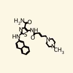 CN1CCN(CC=CC(=O)Nc2sc(Nc3ccc4ccccc4c3)nc2C(N)=O)CC1